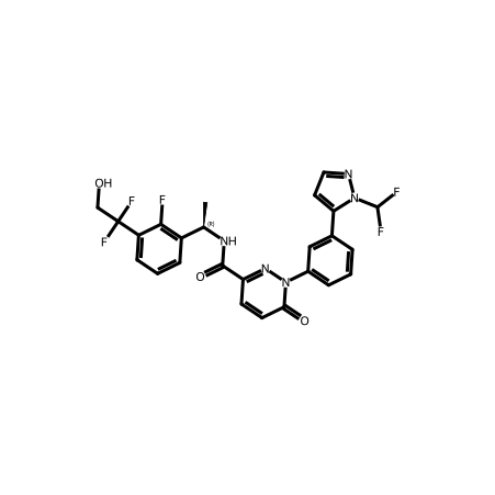 C[C@@H](NC(=O)c1ccc(=O)n(-c2cccc(-c3ccnn3C(F)F)c2)n1)c1cccc(C(F)(F)CO)c1F